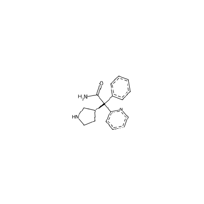 NC(=O)C(c1ccccc1)(c1ccccn1)[C@H]1CCNC1